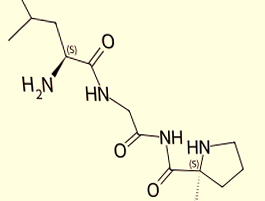 CC(C)C[C@H](N)C(=O)NCC(=O)NC(=O)[C@]1(C)CCCN1